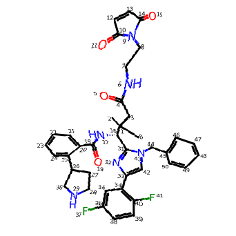 CC(C)(CC(=O)NCCN1C(=O)C=CC1=O)[C@@H](NC(=O)c1ccccc1C1CCNC1)c1nc(-c2cc(F)ccc2F)cn1Cc1ccccc1